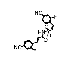 N#Cc1ccc(/C=C\S(=O)(=O)NC(=O)/C=C/c2ccc(C#N)cc2F)c(F)c1